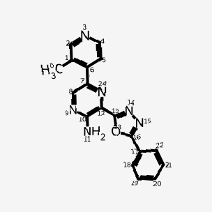 Cc1cnccc1-c1cnc(N)c(-c2nnc(-c3ccccc3)o2)n1